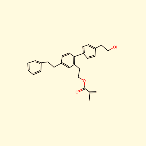 C=C(C)C(=O)OCCc1cc(CCc2ccccc2)ccc1-c1ccc(CCO)cc1